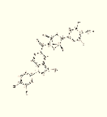 Cc1cc(N2C[C@@H]3C[C@H]2CN3C(=O)c2ccc3c(-c4ccc(Cl)c(F)c4)cn(C(C)(C)C)c3n2)nc(C)c1C(=O)O